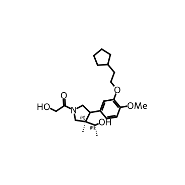 COc1ccc(C2CN(C(=O)CO)C[C@]2(C)[C@@H](C)O)cc1OCCC1CCCC1